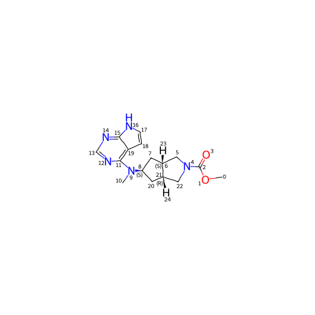 COC(=O)N1C[C@H]2C[C@H](N(C)c3ncnc4[nH]ccc34)C[C@H]2C1